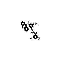 COc1cc(NC(=O)OCc2cc(N)cc(Nc3c4ccccc4nc4ccccc34)c2)cc(OC)c1